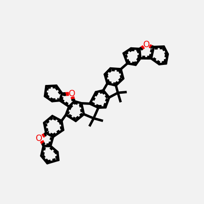 CC1(C)c2cc(-c3ccc4oc5ccccc5c4c3)ccc2-c2cc3c(cc21)C(C)(C)c1cc(-c2ccc4oc5ccccc5c4c2)c2c(oc4ccccc42)c1-3